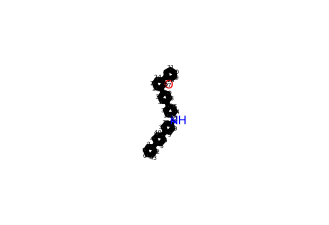 c1ccc(-c2ccc(-c3ccc(Nc4ccc(-c5ccc(-c6cccc7c6oc6ccccc67)cc5)cc4)cc3)cc2)cc1